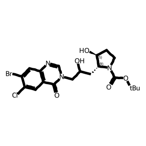 CC(C)(C)OC(=O)N1CC[C@H](O)[C@H]1CC(O)Cn1cnc2cc(Br)c(Cl)cc2c1=O